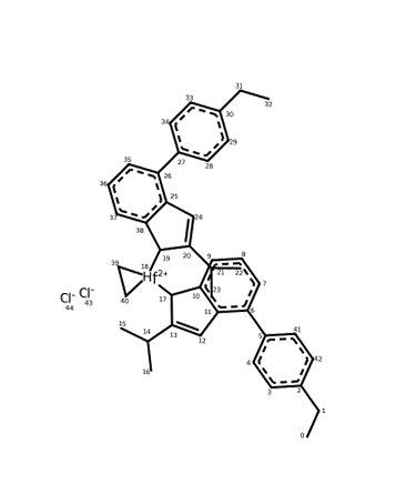 CCc1ccc(-c2cccc3c2C=C(C(C)C)[CH]3[Hf+2]2([CH]3C(C(C)C)=Cc4c(-c5ccc(CC)cc5)cccc43)[CH2][CH2]2)cc1.[Cl-].[Cl-]